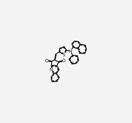 O=C1/C(=C\c2ccc(N(c3ccccc3)c3cccc4ccccc34)s2)C(=O)c2nc3ccccc3cc21